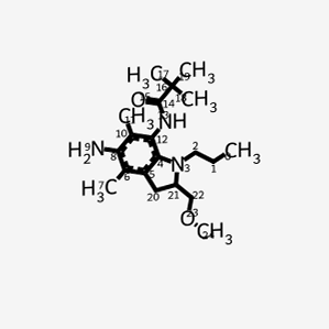 CCCN1c2c(c(C)c(N)c(C)c2NC(=O)C(C)(C)C)CC1COC